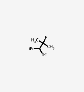 CC(C)C(C(C)C)C(C)(C)F